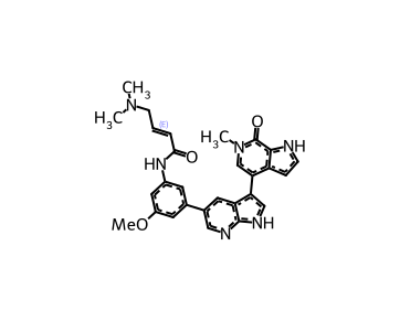 COc1cc(NC(=O)/C=C/CN(C)C)cc(-c2cnc3[nH]cc(-c4cn(C)c(=O)c5[nH]ccc45)c3c2)c1